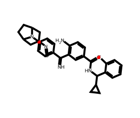 N=C(c1ccc(N2C3CCC2CC(N=O)C3)cc1)c1cc(C(=O)NC(c2ccccc2F)C2CC2)ccc1N